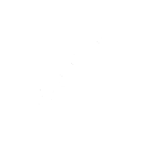 O=C(NO)c1ccc(N2CCN(S(=O)(=O)c3ccc4ccccc4c3)CC2)cc1